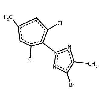 Cc1nn(-c2c(Cl)cc(C(F)(F)F)cc2Cl)nc1Br